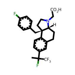 CC(F)(c1ccc2c(c1)CC[C@H]1N(CC(=O)O)CC[C@@]21Cc1ccc(F)cc1)C(F)(F)F